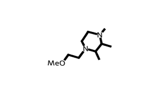 COCCN1CCN(C)C(C)C1C